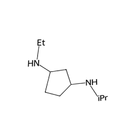 CCNC1CCC(NC(C)C)C1